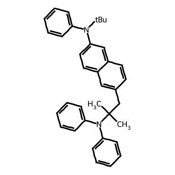 CC(C)(C)N(c1ccccc1)c1ccc2cc(CC(C)(C)N(c3ccccc3)c3ccccc3)ccc2c1